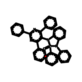 O=P1(c2ccccc2)N(c2ccccc2)c2ccccc2N1c1c(-c2ccccc2)nc(-c2ccccc2)nc1-c1ccccc1